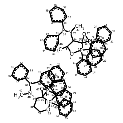 CC1O[PH](c2ccccc2)(c2ccccc2)[C@]2(O[PH]2(c2ccccc2)c2ccccc2)C1N(C)P(c1ccccc1)c1ccccc1.CN([C@H]1CCO[PH](c2ccccc2)(c2ccccc2)C12O[PH]2(c1ccccc1)c1ccccc1)P(c1ccccc1)c1ccccc1